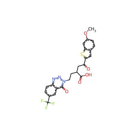 COc1ccc2cc(C(=O)CC(CCn3nnc4ccc(C(F)(F)F)cc4c3=O)C(=O)O)sc2c1